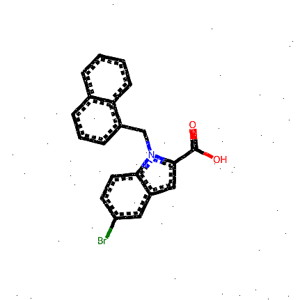 O=C(O)c1cc2cc(Br)ccc2n1Cc1cccc2ccccc12